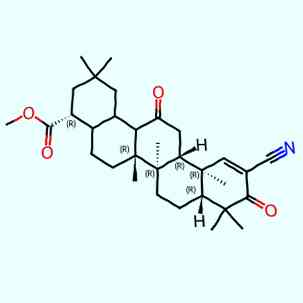 COC(=O)[C@@H]1CC(C)(C)CC2C1CC[C@]1(C)C2C(=O)C[C@@H]2[C@@]3(C)C=C(C#N)C(=O)C(C)(C)[C@@H]3CC[C@]21C